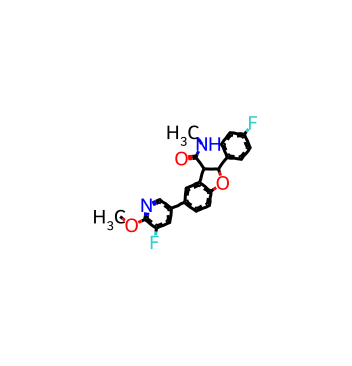 CNC(=O)C1c2cc(-c3cnc(OC)c(F)c3)ccc2OC1c1ccc(F)cc1